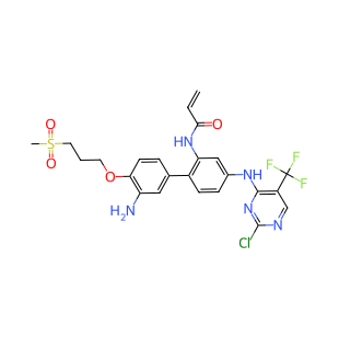 C=CC(=O)Nc1cc(Nc2nc(Cl)ncc2C(F)(F)F)ccc1-c1ccc(OCCCS(C)(=O)=O)c(N)c1